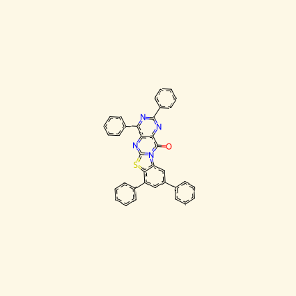 O=c1c2nc(-c3ccccc3)nc(-c3ccccc3)c2nc2sc3c(-c4ccccc4)cc(-c4ccccc4)cc3n12